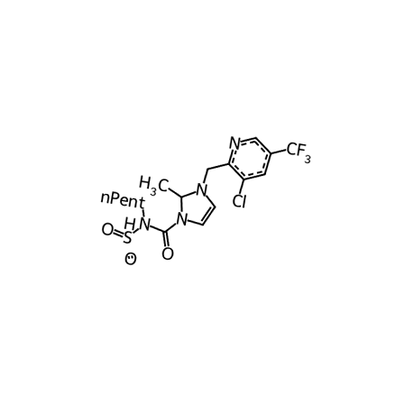 CCCCCN(C(=O)N1C=CN(Cc2ncc(C(F)(F)F)cc2Cl)C1C)[SH](=O)=O